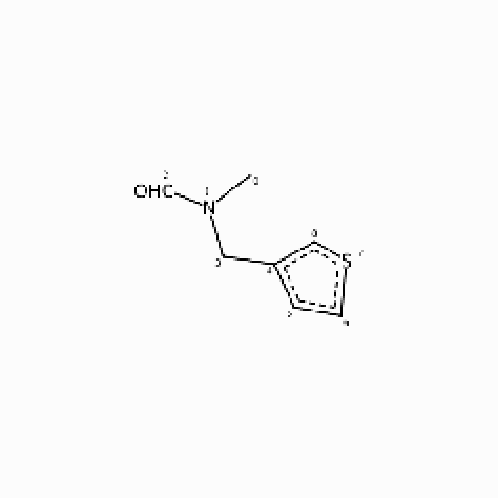 CN(C=O)Cc1ccsc1